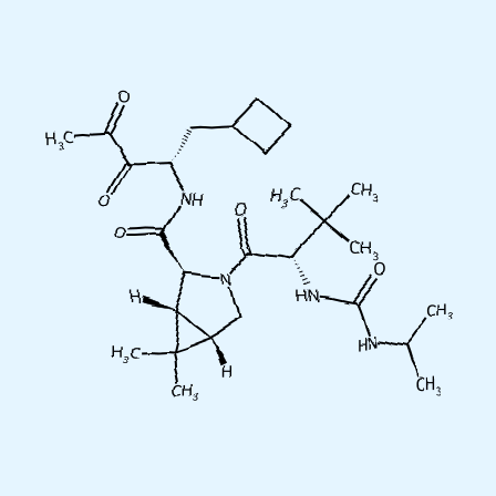 CC(=O)C(=O)[C@H](CC1CCC1)NC(=O)[C@@H]1[C@@H]2[C@H](CN1C(=O)[C@@H](NC(=O)NC(C)C)C(C)(C)C)C2(C)C